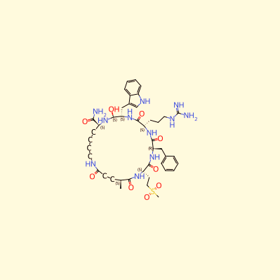 C[C@H]1CCC(=O)NCCCC[C@@H](C(N)=O)N[C@@H](O)[C@H](Cc2c[nH]c3ccccc23)NC(=O)[C@H](CCCNC(=N)N)NC(=O)[C@@H](Cc2ccccc2)NC(=O)[C@H](CCS(C)(=O)=O)NC1=O